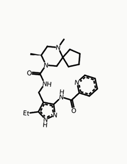 CCc1[nH]nc(NC(=O)c2ccccn2)c1CNC(=O)N1CC2(CCCC2)N(C)C[C@@H]1C